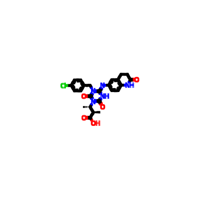 C[C@@H](C(=O)O)[C@H](C)n1c(=O)[nH]/c(=N\c2ccc3c(c2)CCC(=O)N3)n(Cc2ccc(Cl)cc2)c1=O